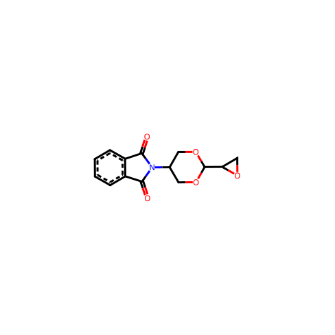 O=C1c2ccccc2C(=O)N1C1COC(C2CO2)OC1